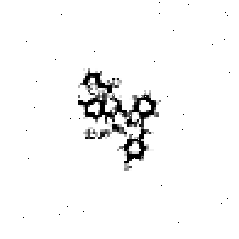 Cc1ccc(C[C@@H](CNC(=O)c2ccco2)n2c(=NC(=O)OC(C)(C)C)n(Cc3ccc(C)cc3)c3ccccc32)cc1